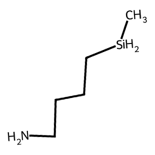 C[SiH2]CCCCN